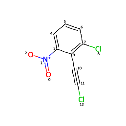 O=[N+]([O-])c1cccc(Cl)c1C#CCl